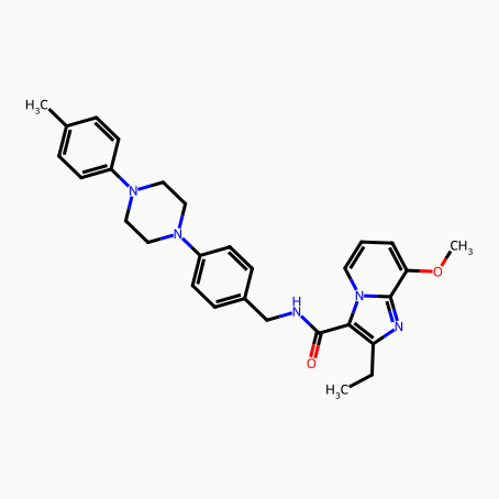 CCc1nc2c(OC)cccn2c1C(=O)NCc1ccc(N2CCN(c3ccc(C)cc3)CC2)cc1